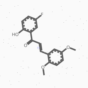 COc1ccc(OC)c(/C=C/C(=O)c2cc(F)ccc2O)c1